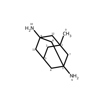 CC12CC3CC(N)(C1)CC(N)(C3)C2